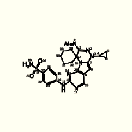 CNC1=NN(C2CC2)c2cc3cnc(Nc4ccc(S(N)(=O)=O)cc4)nc3n2C12CCCCC2